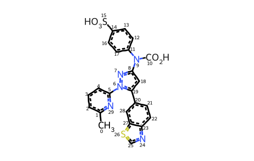 Cc1cccc(-n2nc(N(C(=O)O)c3ccc(S(=O)(=O)O)cc3)cc2-c2ccc3ncsc3c2)n1